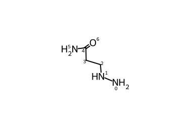 NNCCC(N)=O